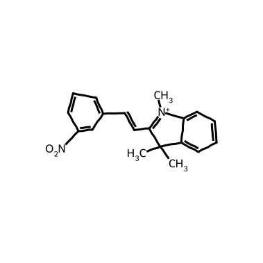 C[N+]1=C(C=Cc2cccc([N+](=O)[O-])c2)C(C)(C)c2ccccc21